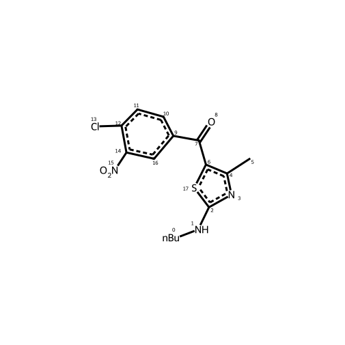 CCCCNc1nc(C)c(C(=O)c2ccc(Cl)c([N+](=O)[O-])c2)s1